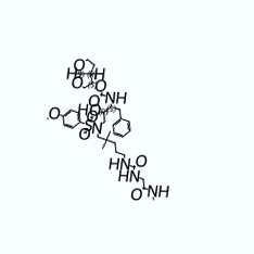 CNC(=O)CNC(=O)NCCCC(C)(C)CN(C[C@@H](O)[C@H](Cc1ccccc1)NC(=O)O[C@@H]1CO[C@@H]2OCC[C@@H]21)S(=O)(=O)c1ccc(OC)cc1